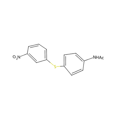 CC(=O)Nc1ccc(Sc2cccc([N+](=O)[O-])c2)cc1